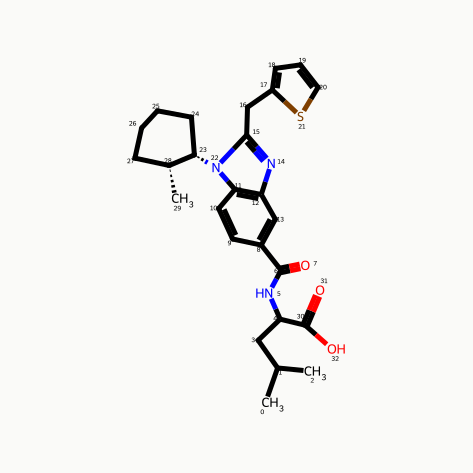 CC(C)CC(NC(=O)c1ccc2c(c1)nc(Cc1cccs1)n2[C@H]1CCCC[C@H]1C)C(=O)O